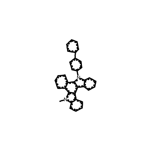 Cn1c2ccccc2c2c3c4ccccc4n(-c4ccc(-c5ccccc5)cc4)c3c3ccccc3c21